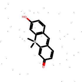 C[Si]1(C)C2=CC(=O)C=CC2=Cc2ccc(O)cc21